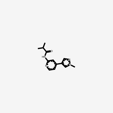 CC(C)C(=O)Nc1cc(-c2cnn(C)c2)ccn1